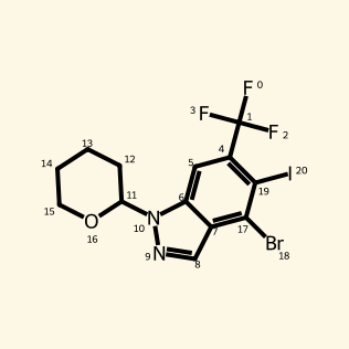 FC(F)(F)c1cc2c(cnn2C2CCCCO2)c(Br)c1I